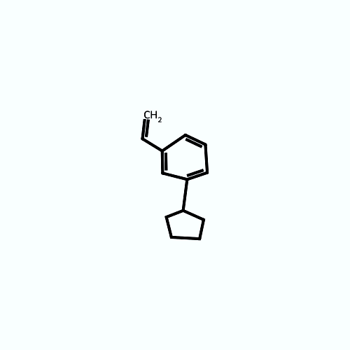 C=Cc1cccc(C2CCCC2)c1